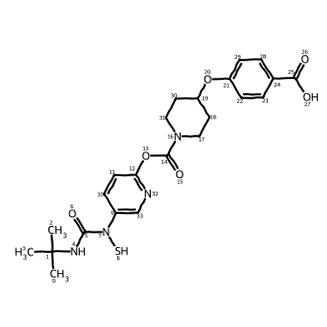 CC(C)(C)NC(=O)N(S)c1ccc(OC(=O)N2CCC(Oc3ccc(C(=O)O)cc3)CC2)nc1